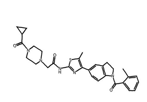 Cc1ccccc1C(=O)N1CCc2cc(-c3nc(NC(=O)CN4CCN(C(=O)C5CC5)CC4)sc3C)ccc21